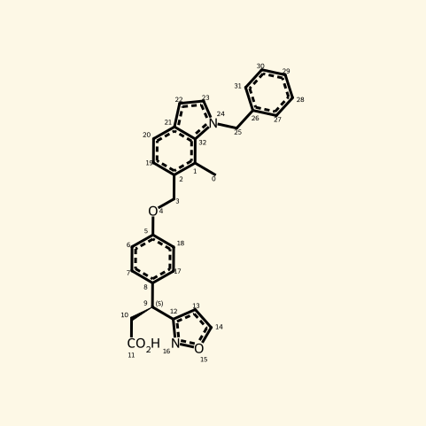 Cc1c(COc2ccc([C@H](CC(=O)O)c3ccon3)cc2)ccc2ccn(Cc3ccccc3)c12